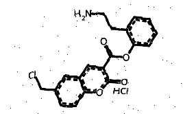 Cl.NCCc1ccccc1OC(=O)c1cc2cc(CCl)ccc2oc1=O